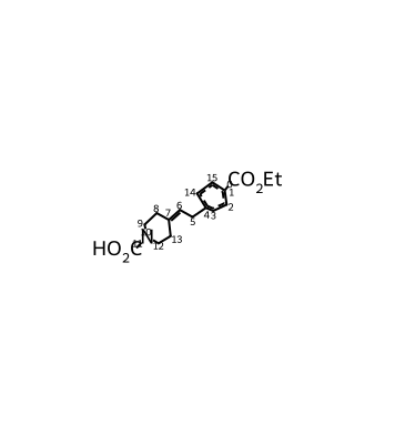 CCOC(=O)c1ccc(CC=C2CCN(C(=O)O)CC2)cc1